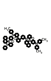 Cc1ccc(N(c2ccc(C)cc2)c2ccc3c(c2)Oc2cccc4c2B3c2c(ccc3ccccc23)N4c2cccc(-c3cccc4oc5c(N(c6ccc(C)cc6)c6ccc7c(c6)Oc6cccc8c6B7c6c(ccc7ccccc67)N8c6ccccc6)cccc5c34)c2)cc1